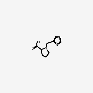 O=C(O)C1CCCN1Cc1cscn1